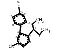 CCC(CC)c1ccc(Cl)cc1-c1ccc(F)cc1